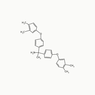 Cc1ccc(Oc2ccc(C(C)(N)c3ccc(Oc4ccc(C)c(C)c4)cc3)cc2)cc1C